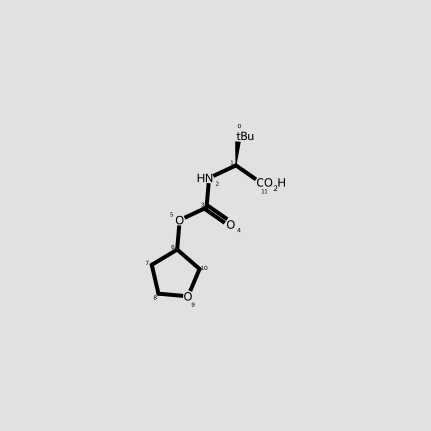 CC(C)(C)[C@H](NC(=O)OC1CCOC1)C(=O)O